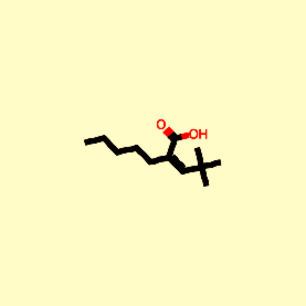 CCCCCC(=CC(C)(C)C)C(=O)O